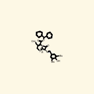 CC(=O)OCC1=C(C(=O)OC(c2ccccc2)c2ccccc2)N2C(=O)[C@@H](/N=C/c3cc(C(C)(C)C)c(O)c(C(C)(C)C)c3)[C@H]2SC1